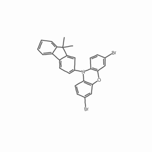 CC1(C)c2ccccc2-c2ccc(N3c4ccc(Br)cc4Oc4cc(Br)ccc43)cc21